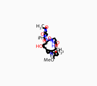 C=CC(=O)N1CC2(CCN(C(C(=O)N[C@H]3Cc4cc(O)cc(c4)-c4ccc5c(c4)c(c(-c4ccccc4CCOC)n5CC)CC(C)(C)COC(=O)[C@@H]4CCCN(N4)C3=O)C(C)C)C2=O)C1